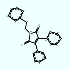 O=C1C(c2ccccc2)=C(c2ccccc2)C(=O)N1CCc1ccccc1